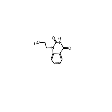 O=c1[nH]c(=O)n(CCO)c2ccccc12